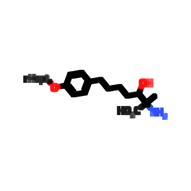 CCCCCCCOc1ccc(CCCCC(O)C(C)(N)C(=O)O)cc1